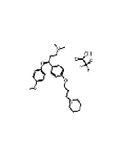 CSc1ccc(OC(CCN(C)C)c2ccc(OCCCN3CCCCC3)cc2)cc1.O=C(O)C(F)(F)F